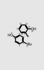 CC(C)(C)c1ccc(O)cc1.Cc1ccccc1O